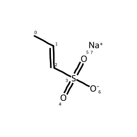 C/C=C/S(=O)(=O)[O-].[Na+]